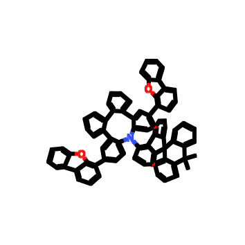 CC1(C)c2ccccc2C2(c3ccccc3-c3c(-n4c5ccc(-c6cccc7c6oc6ccccc67)cc5c5ccccc5c5ccccc5c5cc(-c6cccc7c6oc6ccccc67)ccc54)cccc32)c2ccccc21